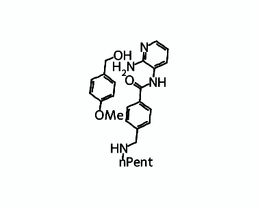 CCCCCNCc1ccc(C(=O)Nc2cccnc2N)cc1.COc1ccc(CO)cc1